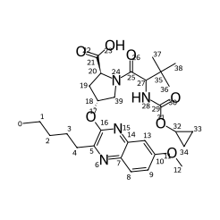 CCCCCc1nc2ccc(OC)cc2nc1O[C@@H]1C[C@@H](C(=O)O)N(C(=O)C(NC(=O)OC2CC2)C(C)(C)C)C1